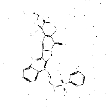 CC[C@@]1(OCSC)C(=O)OCc2c1cc1n(c2=O)Cc2c-1nc1ccccc1c2CCN(C(C)C)S(=O)(=O)c1ccccc1